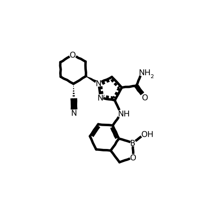 N#C[C@@H]1CCOC[C@H]1n1cc(C(N)=O)c(NC2=C3B(O)OCC3CC=C2)n1